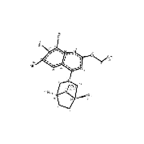 CC(C)(C)[C@]12CC[C@@H](CN(c3nc(OCC(F)(F)F)nc4c(F)c(Br)c(C#N)cc34)C1)N2C(=O)O